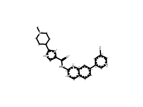 CN1CCC(c2nc(C(=O)Nc3ncc4ccc(-c5cncc(F)c5)cc4n3)co2)CC1